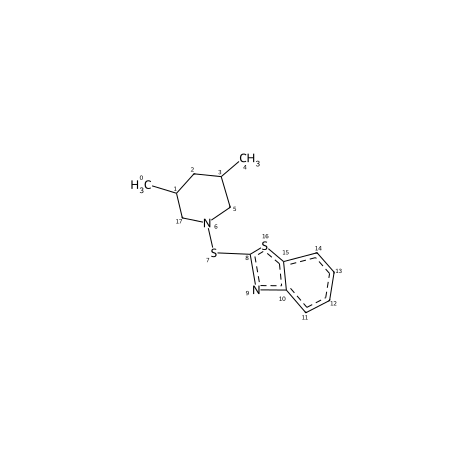 CC1CC(C)CN(Sc2nc3ccccc3s2)C1